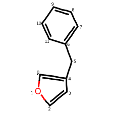 [c]1occc1Cc1ccccc1